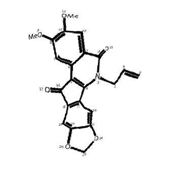 C=CCn1c2c(c3cc(OC)c(OC)cc3c1=O)C(=O)c1cc3c(cc1-2)OCO3